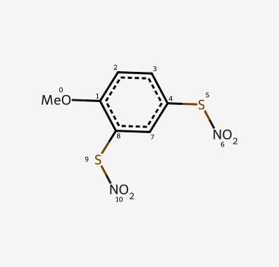 COc1ccc(S[N+](=O)[O-])cc1S[N+](=O)[O-]